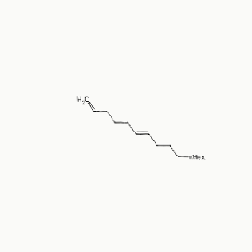 C=CCCCC=CCCCCCCCCC